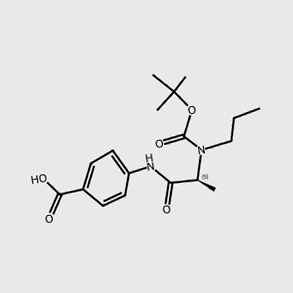 CCCN(C(=O)OC(C)(C)C)[C@@H](C)C(=O)Nc1ccc(C(=O)O)cc1